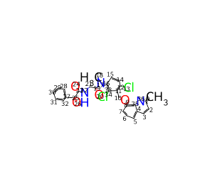 Cc1ccc2cccc(OCc3c(Cl)ccc(N(C)C(=O)CNC(=O)C(=O)c4ccccc4)c3Cl)c2n1